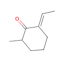 CC=C1CCCC(C)C1=O